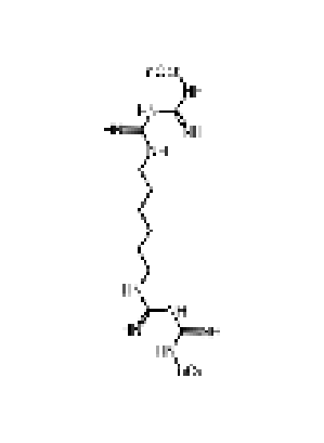 CCCCCCCCNC(=N)NC(=N)NCCCCCCNC(=N)NC(=N)NCCCCCCCC